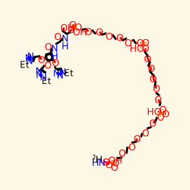 [2H]NOOP(=O)(O)OCCOCCOCCOCCOCCOCCOP(=O)(O)OCCOCCOCCOCCOCCOCCOP(=O)(O)OCCOCCOCCOCCOCCOCCOP(=O)(O)OCC(CO)NC(=O)CCNC(=O)c1cc(OCc2cn(CC)nn2)c(OCc2cn(CC)nn2)c(OCc2cn(CC)nn2)c1